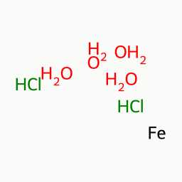 Cl.Cl.O.O.O.O.[Fe]